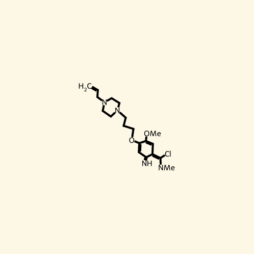 C=CCN1CCN(CCCOC2=CC(=N)/C(=C(/Cl)NC)C=C2OC)CC1